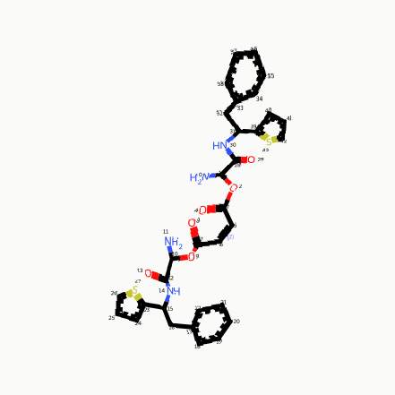 NC(OC(=O)/C=C\C(=O)OC(N)C(=O)NC(Cc1ccccc1)c1cccs1)C(=O)NC(Cc1ccccc1)c1cccs1